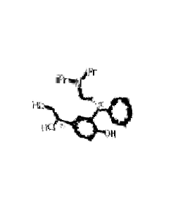 CC(C)N(CC[C@H](c1ccccc1)c1cc([C@@H](O)CO)ccc1O)C(C)C